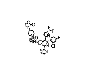 O=C1OCCN1C1CCN(S(=O)(=O)N[C@H]2CC3=C(c4ccn(C(F)F)n4)[C@H](c4ccc(F)cc4Cl)N=C(c4nccs4)N3C2)CC1